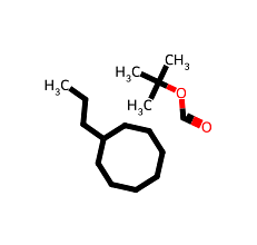 CC(C)(C)OC=O.CCCC1CCCCCCC1